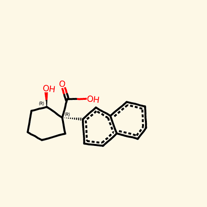 O=C(O)[C@@]1(c2ccc3ccccc3c2)CCCC[C@H]1O